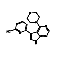 N#Cc1cccc(-c2c[nH]c3ncnc(N4CCOCC4)c23)n1